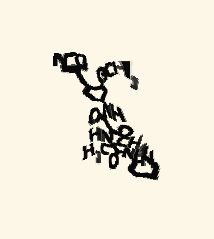 COc1cc(NC(=O)C(=O)NC(C)(C)C(=O)Nc2ccccn2)ccc1-c1cnco1